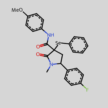 COc1ccc(NC(=O)C2([Se]c3ccccc3)CC(c3ccc(F)cc3)N(C)C2=O)cc1